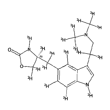 [2H]c1c(C([2H])([2H])[C@]2([2H])N([2H])C(=O)OC2([2H])[2H])c([2H])c2c(C([2H])([2H])CN(C([2H])([2H])[2H])C([2H])([2H])[2H])cn([2H])c2c1[2H]